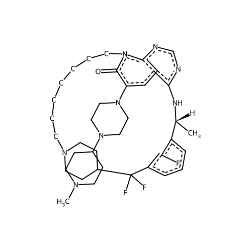 C[C@H]1Nc2ncnc3c2cc(N2CCN(C4CCN(C)CC4)CC2)c(=O)n3CCCCCCCN2CCC(CC2)C(F)(F)c2cccc1c2F